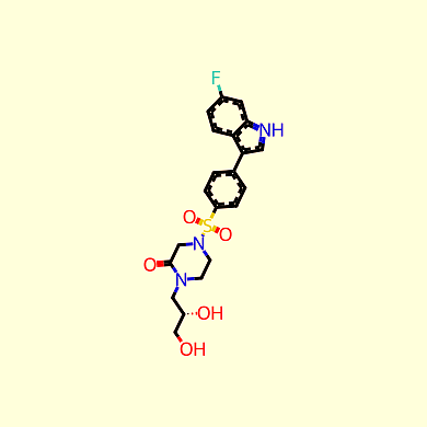 O=C1CN(S(=O)(=O)c2ccc(-c3c[nH]c4cc(F)ccc34)cc2)CCN1C[C@H](O)CO